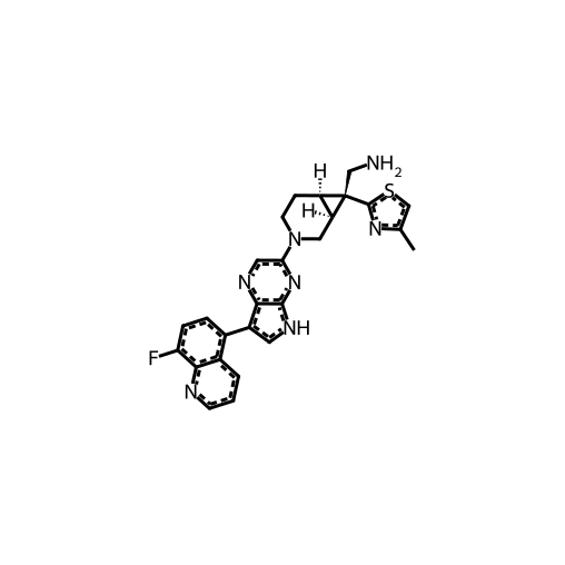 Cc1csc([C@@]2(CN)[C@@H]3CCN(c4cnc5c(-c6ccc(F)c7ncccc67)c[nH]c5n4)C[C@@H]32)n1